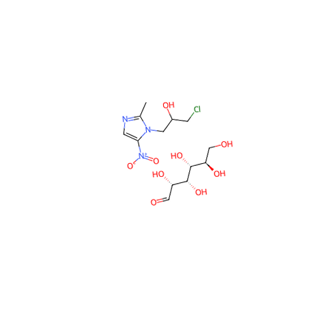 Cc1ncc([N+](=O)[O-])n1CC(O)CCl.O=C[C@H](O)[C@@H](O)[C@H](O)[C@H](O)CO